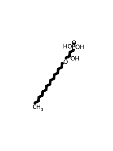 CCCCCCCCCCCCCCCCOC[C@H](O)CCP(=O)(O)O